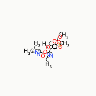 CCn1nc(C(=O)Oc2c(C(=O)c3ccc(S(C)(=O)=O)c(OCCOC)c3C)cnn2CC)cc1C